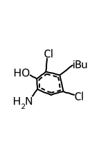 CCC(C)c1c(Cl)cc(N)c(O)c1Cl